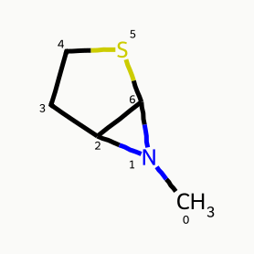 CN1C2CCSC21